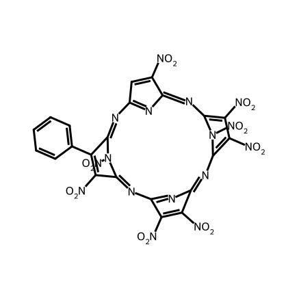 O=[N+]([O-])C1=Cc2nc1nc1c([N+](=O)[O-])c([N+](=O)[O-])c(nc3nc(nc4c([N+](=O)[O-])c(-c5ccccc5)c(n2)n4[N+](=O)[O-])C([N+](=O)[O-])=C3[N+](=O)[O-])n1[N+](=O)[O-]